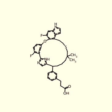 CC1(C)CCCC(c2cccc(CCC(=O)O)c2)c2cnc([nH]2)-c2cc(ccc2F)Oc2c(F)cc3[nH]ccc3c2CCSC1